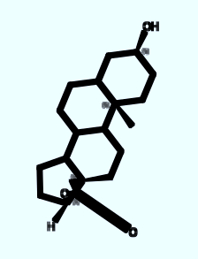 C[C@]12CC[C@H](O)CC1CCC1C2CC[C@]23CC(=O)O[C@H]2CCC13